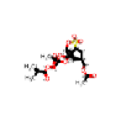 C=C(C)C(=O)OCC(=O)OC1C2OS(=O)(=O)C3CC1(COC(C)=O)CC23COC(C)=O